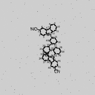 N#Cc1ccc2c(c1)c1ccccc1n2-c1cccc(-c2cccc(C#N)c2-c2ccccc2-n2c3ccccc3c3cc(C#N)ccc32)c1